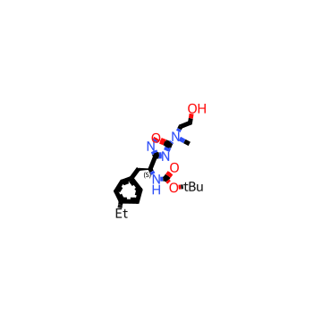 CCc1ccc(C[C@H](NC(=O)OC(C)(C)C)c2noc(N(C)CCO)n2)cc1